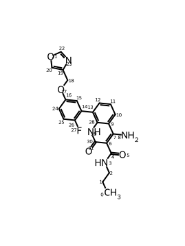 CCCNC(=O)c1c(N)c2cccc(-c3cc(OCc4cocn4)ccc3F)c2[nH]c1=O